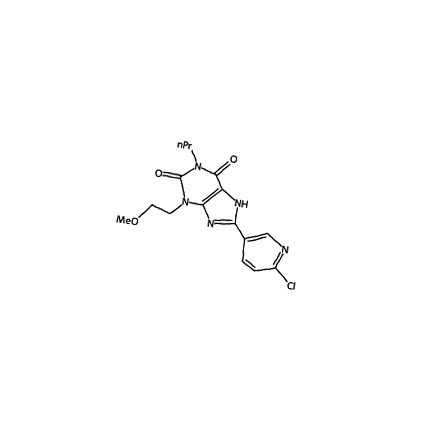 CCCn1c(=O)c2[nH]c(-c3ccc(Cl)nc3)nc2n(CCOC)c1=O